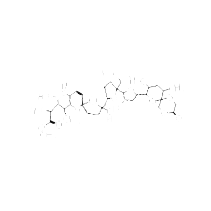 CCC1(C2OC(C3OC4(COC(=O)CO4)C(C)CC3C)CC2C)CCC(C2(C)CCC3(C=CC(C)C(C(C)C(OC)C(C)C(=O)OC)O3)O2)O1